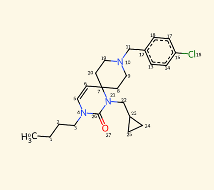 CCCCN1C=CC2(CCN(Cc3ccc(Cl)cc3)CC2)N(CC2CC2)C1=O